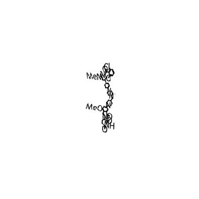 CNc1cc(-c2ccc(N3CCN(CC4CCN(c5cc(OC)c6c(c5)C(=O)N(C5CCC(=O)NC5=O)C6)CC4)[C@@H](C)C3)cc2)c2oc3cccc(Cl)c3c(=O)c2n1